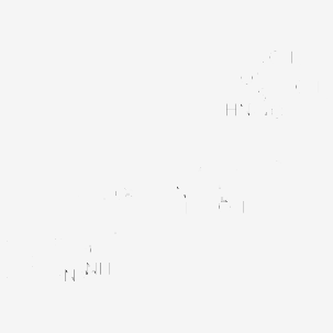 CC(C)S(=O)(=O)Nc1cccc(C(O)CNCCOc2ccc3c(C4CC4)n[nH]c3c2)c1